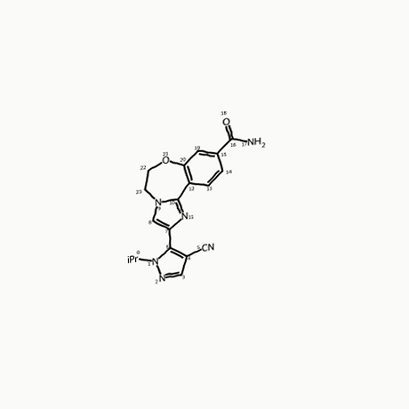 CC(C)n1ncc(C#N)c1-c1cn2c(n1)-c1ccc(C(N)=O)cc1OCC2